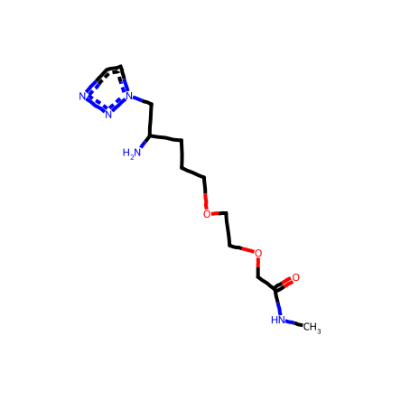 CNC(=O)COCCOCCCC(N)Cn1ccnn1